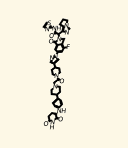 O=C1CC[C@H](Nc2ccc(C3CCN(CC(=O)N4CCC(c5cnn(-c6cc(F)c7c(c6)C(=O)N(C(C(=O)Nc6nccs6)c6ncn8c6CCC8)C7)c5)CC4)CC3)cc2)C(=O)N1